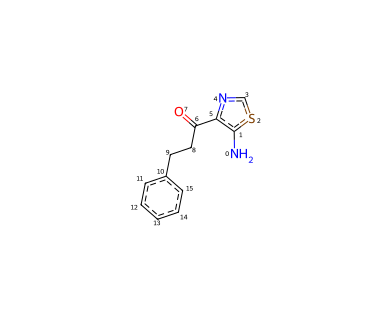 Nc1scnc1C(=O)CCc1ccccc1